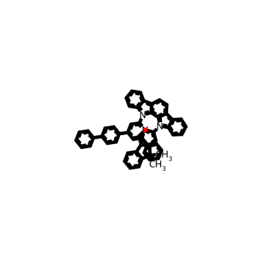 CC1(C)c2ccccc2-c2ccc(-n3c4ccccc4c4ccc5c6ccccc6n(-c6cc(-c7ccc(-c8ccccc8)cc7)cc(-c7ccccc7)n6)c5c43)cc21